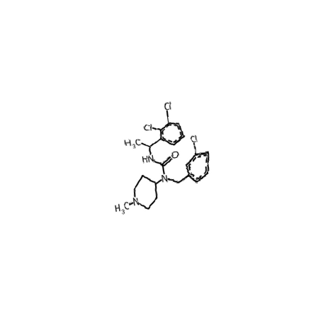 CC(NC(=O)N(Cc1cccc(Cl)c1)C1CCN(C)CC1)c1cccc(Cl)c1Cl